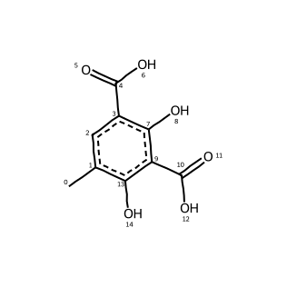 Cc1cc(C(=O)O)c(O)c(C(=O)O)c1O